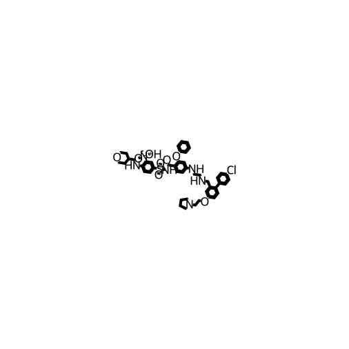 C[N+]([O-])(O)c1cc(S(=O)(=O)NC(=O)c2ccc(NCCNCc3cc(OCCN4CCCC4)ccc3-c3ccc(Cl)cc3)cc2Oc2ccccc2)ccc1NCC1CCOCC1